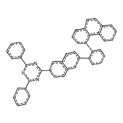 c1ccc(-c2nc(-c3ccccc3)nc(-c3ccc4cc(-c5ccccc5-c5cccc6ccc7ccccc7c56)ccc4c3)n2)cc1